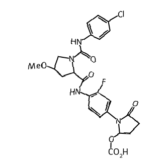 COC1CC(C(=O)Nc2ccc(N3C(=O)CCC3OC(=O)O)cc2F)N(C(=O)Nc2ccc(Cl)cc2)C1